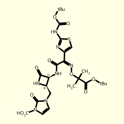 CC(C)(C)OC(=O)Nc1nc(/C(=N/OC(C)(C)C(=O)OC(C)(C)C)C(=O)N[C@@H]2C(=O)N[C@@H]2Cn2ccn(C(=O)O)c2=O)cs1